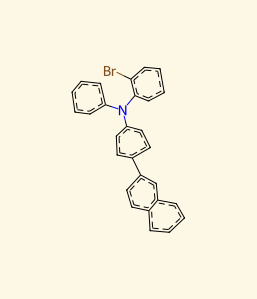 Brc1ccccc1N(c1ccccc1)c1ccc(-c2ccc3ccccc3c2)cc1